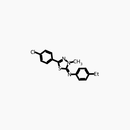 CCc1ccc(N=c2sc(-c3ccc(Cl)cc3)nn2C)cc1